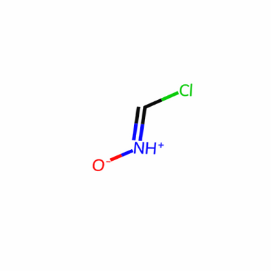 [O-][NH+]=CCl